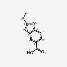 CSc1nc2cc(C(=O)O)ccc2o1